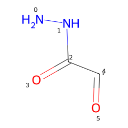 NNC(=O)[C]=O